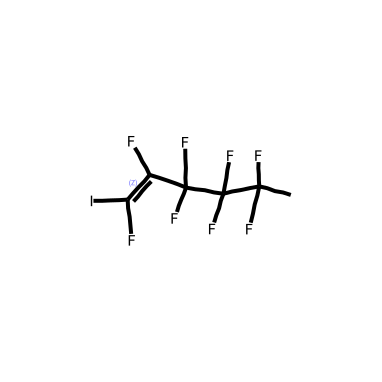 CC(F)(F)C(F)(F)C(F)(F)/C(F)=C(\F)I